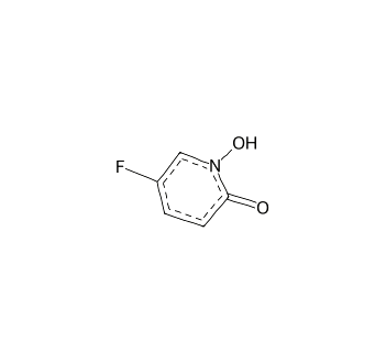 O=c1ccc(F)cn1O